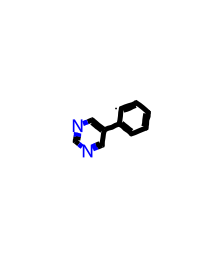 [c]1ccccc1-c1cncnc1